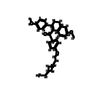 COc1ccc(C2=C(C(=O)c3ccc(OCCN4CC(CF)C4)cc3)c3ccc(OC)cc3CC2)cc1